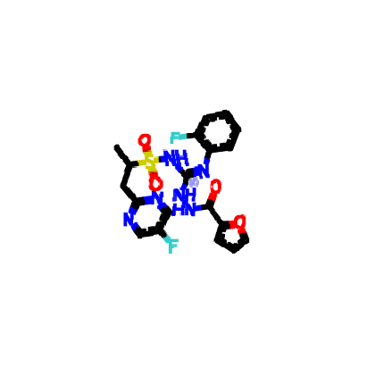 CC(Cc1ncc(F)cn1)S(=O)(=O)N/C(=N\c1ccccc1F)NNC(=O)c1ccco1